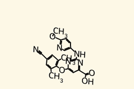 COc1ccc(Nc2nc(Oc3c(C)cc(C#N)cc3C)cc(C(=O)O)n2)cn1